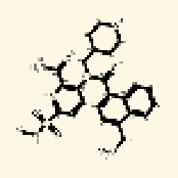 CCNS(=O)(=O)c1ccc(N(CC2CCOCC2)C(=O)c2ccc(COC)c3ccccc23)c(C(N)=O)n1